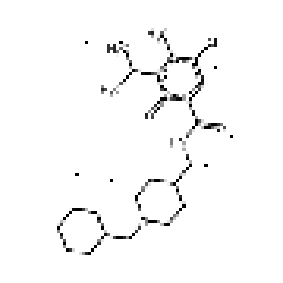 Cc1c(Cl)cc(C(=O)NCC2CCN(CC3CCCCC3)CC2)c(=O)n1C(C)C